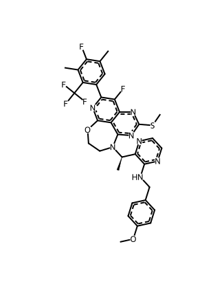 COc1ccc(CNc2nccnc2[C@@H](C)N2CCOc3nc(-c4cc(C)c(F)c(C)c4C(F)(F)F)c(F)c4nc(SC)nc2c34)cc1